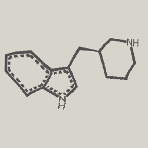 c1ccc2c(C[C@@H]3CCCNC3)c[nH]c2c1